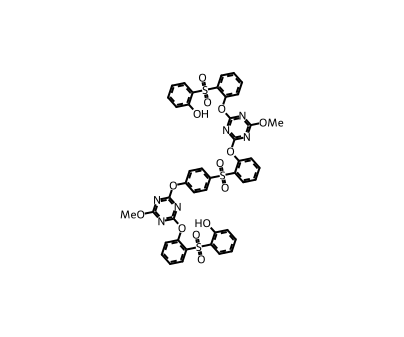 COc1nc(Oc2ccc(S(=O)(=O)c3ccccc3Oc3nc(OC)nc(Oc4ccccc4S(=O)(=O)c4ccccc4O)n3)cc2)nc(Oc2ccccc2S(=O)(=O)c2ccccc2O)n1